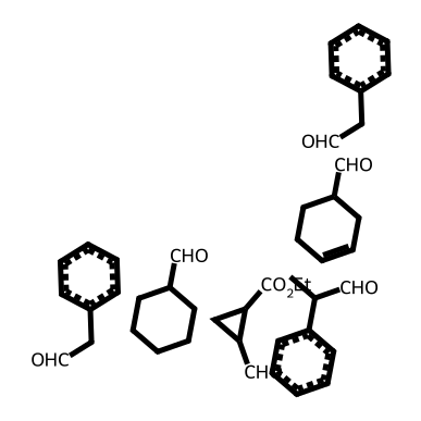 CC(C=O)c1ccccc1.CCOC(=O)C1CC1C=O.O=CC1CC=CCC1.O=CC1CCCCC1.O=CCc1ccccc1.O=CCc1ccccc1